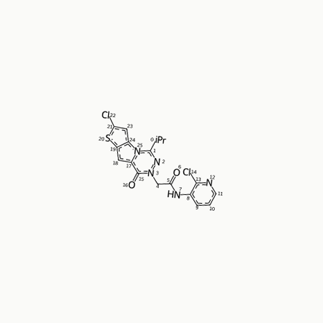 CC(C)c1nn(CC(=O)Nc2cccnc2Cl)c(=O)c2cc3sc(Cl)cc3n12